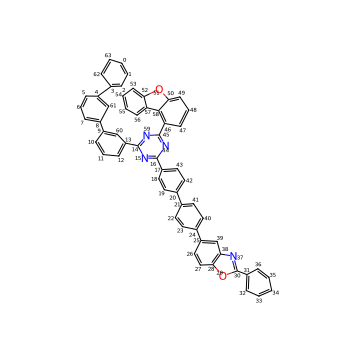 c1ccc(-c2cccc(-c3cccc(-c4nc(-c5ccc(-c6ccc(-c7ccc8oc(-c9ccccc9)nc8c7)cc6)cc5)nc(-c5cccc6oc7ccccc7c56)n4)c3)c2)cc1